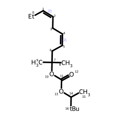 CC/C=C\C/C=C\CC(C)(C)OC(=O)OC(C)C(C)(C)C